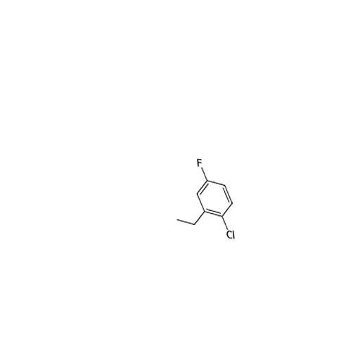 CCc1cc(F)ccc1Cl